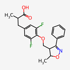 CC(Cc1cc(F)c(OCC2C(c3ccccc3)=NOC2C)c(F)c1)C(=O)O